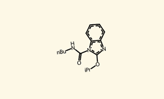 CCCCNC(=O)n1c(OC(C)C)nc2ccccc21